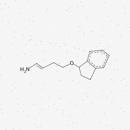 NC=CCCOC1CCc2ccccc21